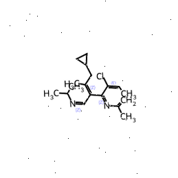 C=C(C)/N=C(C(/C=N\C(C)C)=C(/C)CC1CC1)\C(Cl)=C/C